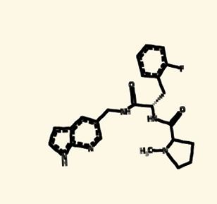 CN1CCCC1C(=O)N[C@@H](Cc1ccccc1F)C(=O)NCc1cnc2[nH]ccc2c1